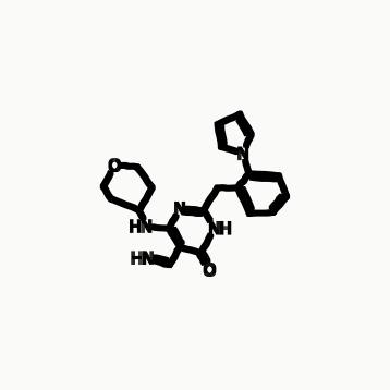 N=Cc1c(NC2CCOCC2)nc(Cc2ccccc2-n2cccc2)[nH]c1=O